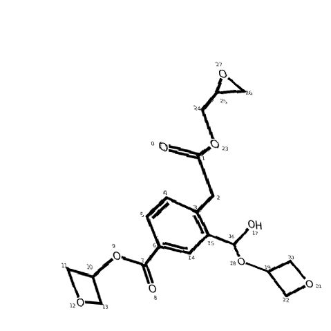 O=C(Cc1ccc(C(=O)OC2COC2)cc1C(O)OC1COC1)OCC1CO1